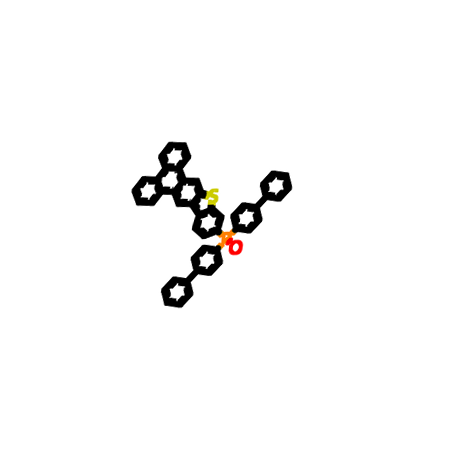 O=P(c1ccc(-c2ccccc2)cc1)(c1ccc(-c2ccccc2)cc1)c1ccc2c(c1)sc1cc3c4ccccc4c4ccccc4c3cc12